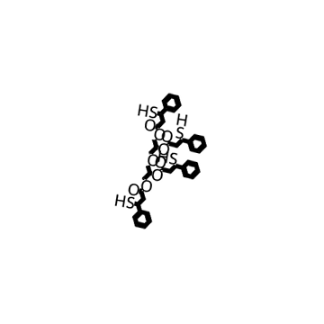 O=C(CC(S)c1ccccc1)OCC(COCC(COC(=O)CC(S)c1ccccc1)OC(=O)CC(S)c1ccccc1)OC(=O)CC(S)c1ccccc1